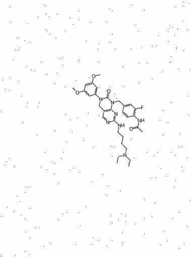 CCN(CC)CCCCNc1ncc2c(n1)N(Cc1ccc(NC(C)=O)c(F)c1)C(=O)N(c1cc(OC)cc(OC)c1)C2